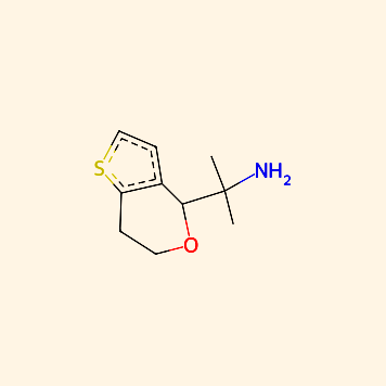 CC(C)(N)C1OCCc2sccc21